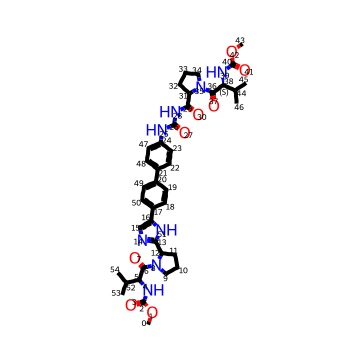 COC(=O)NC(C(=O)N1CCCC1c1ncc(-c2ccc(-c3ccc(NC(=O)NC(=O)C4CCCN4C(=O)[C@@H](NC(=O)OC)C(C)C)cc3)cc2)[nH]1)C(C)C